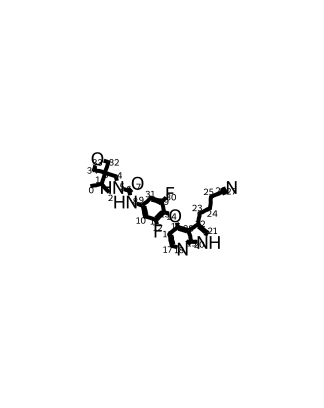 CC(C)C1(CNC(=O)Nc2cc(F)c(Oc3ccnc4[nH]cc(CCCC#N)c34)c(F)c2)COC1